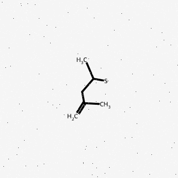 C=C(C)CC(C)[S]